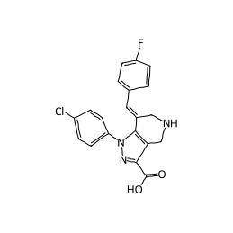 O=C(O)c1nn(-c2ccc(Cl)cc2)c2c1CNC/C2=C\c1ccc(F)cc1